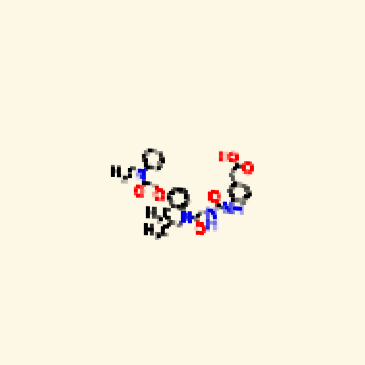 CC(C)CN(C(=O)CNC(=O)Nc1cccc(CC(=O)O)c1)c1cccc(OCC(=O)N(C)c2ccccc2)c1